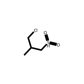 CC(CCl)C[SH](=O)=O